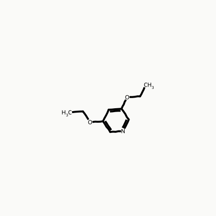 CCOc1cncc(OCC)c1